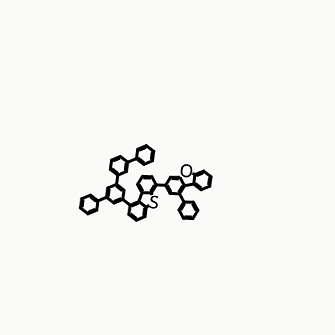 c1ccc(-c2cccc(-c3cc(-c4ccccc4)cc(-c4cccc5sc6c(-c7cc(-c8ccccc8)c8c(c7)oc7ccccc78)cccc6c45)c3)c2)cc1